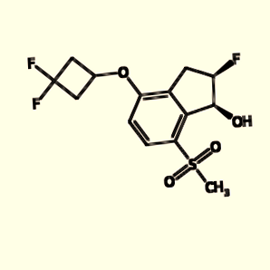 CS(=O)(=O)c1ccc(OC2CC(F)(F)C2)c2c1[C@H](O)[C@H](F)C2